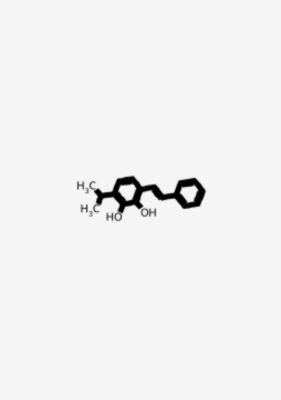 CC(C)c1ccc(C=Cc2ccccc2)c(O)c1O